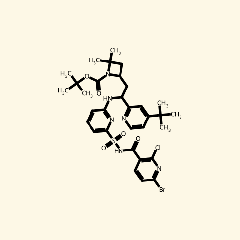 CC(C)(C)OC(=O)N1C(CC(Nc2cccc(S(=O)(=O)NC(=O)c3ccc(Br)nc3Cl)n2)c2cc(C(C)(C)C)ccn2)CC1(C)C